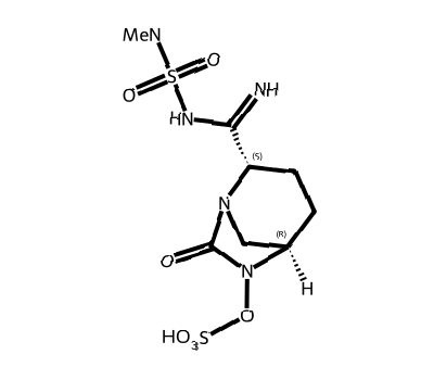 CNS(=O)(=O)NC(=N)[C@@H]1CC[C@@H]2CN1C(=O)N2OS(=O)(=O)O